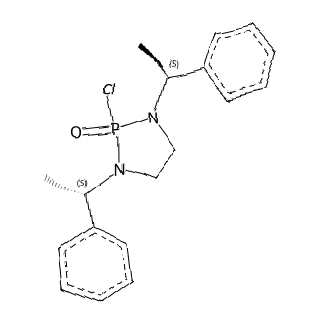 C[C@@H](c1ccccc1)N1CCN([C@@H](C)c2ccccc2)P1(=O)Cl